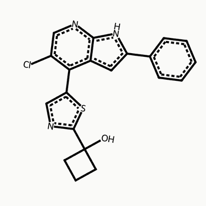 OC1(c2ncc(-c3c(Cl)cnc4[nH]c(-c5ccccc5)cc34)s2)CCC1